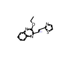 CCOc1nc2ccccc2nc1/C=C/c1nccs1